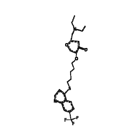 CCN(CC)Cc1cc(=O)c(OCCCCCSc2ccnc3cc(C(F)(F)F)ccc23)co1